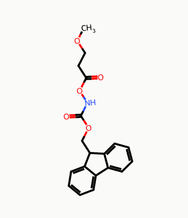 COCCC(=O)ONC(=O)OCC1c2ccccc2-c2ccccc21